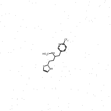 O=C(O)NC(CCN1NC=CS1)Cc1ccc(C(F)(F)F)nc1